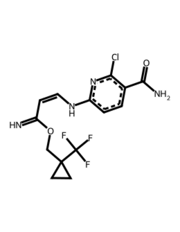 N=C(/C=C\Nc1ccc(C(N)=O)c(Cl)n1)OCC1(C(F)(F)F)CC1